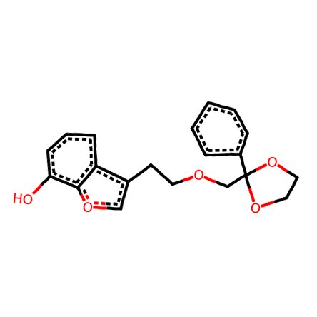 Oc1cccc2c(CCOCC3(c4ccccc4)OCCO3)coc12